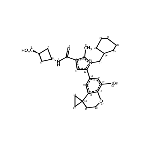 Cc1c(C(=O)N[C@H]2C[C@H](C(=O)O)C2)cc(-c2cc(C(C)(C)C)c3c(c2)C2(CCO3)CC2)n1CC1CCCCC1